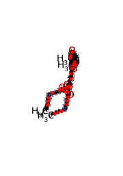 CCCCCCCC/C=C\CCCCCCCC(=O)OCC(COC(=O)CCCCCCC/C=C\CCCCCCCC)OC(=O)CCCCCCCCC(=O)O[C@H]1CC[C@H]2[C@@H]3CCC4=CC(=O)CC[C@]4(C)C3CC[C@]12C